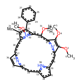 COC1=C(OC)c2nc1cc1ccc(cc3nc(cc4[c]([Mn])c(-c5ccccc5)c(c2OC)n4OC)C=C3)[nH]1